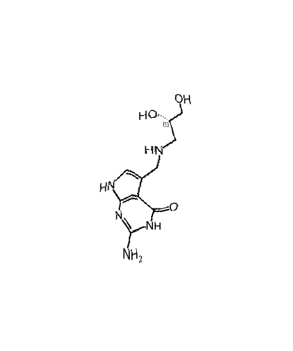 Nc1nc2[nH]cc(CNC[C@H](O)CO)c2c(=O)[nH]1